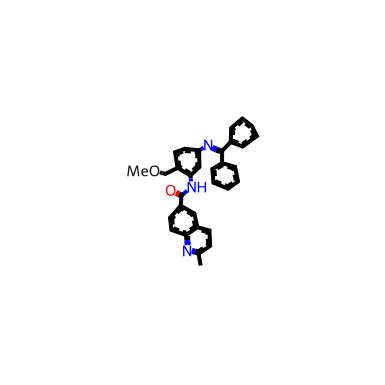 COCc1ccc(N=C(c2ccccc2)c2ccccc2)cc1NC(=O)c1ccc2nc(C)ccc2c1